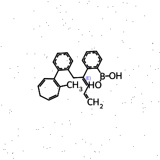 C=C/C=C(\Cc1ccccc1C1=C(C)C=CCC=C1)c1ccccc1B(O)O